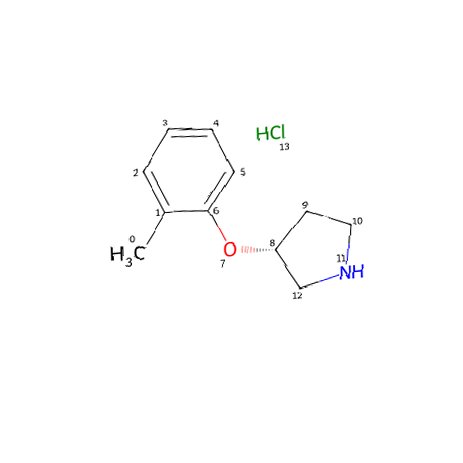 Cc1ccccc1O[C@@H]1CCNC1.Cl